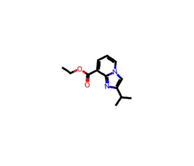 CCOC(=O)c1cccn2cc(C(C)C)nc12